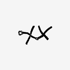 CC(C)(C)O[Si](C)(C)Cl